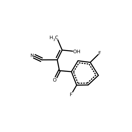 CC(O)=C(C#N)C(=O)c1cc(F)ccc1F